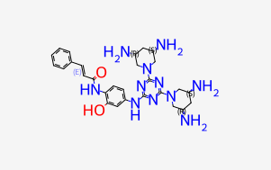 N[C@@H]1C[C@H](N)CN(c2nc(Nc3ccc(NC(=O)/C=C/c4ccccc4)c(O)c3)nc(N3C[C@H](N)C[C@H](N)C3)n2)C1